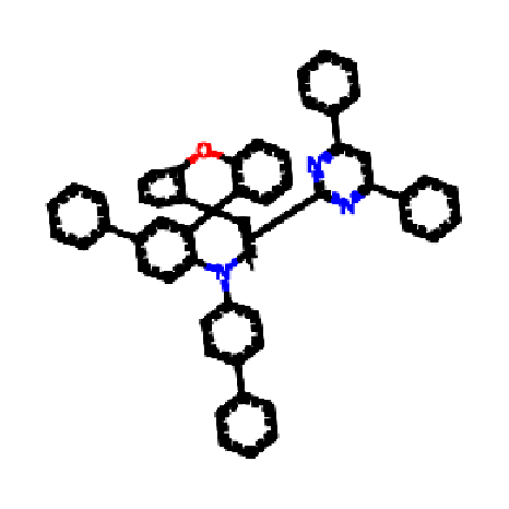 c1ccc(-c2ccc(N3c4ccc(-c5ccccc5)cc4C4(c5ccccc5Oc5ccccc54)c4cc(-c5nc(-c6ccccc6)cc(-c6ccccc6)n5)ccc43)cc2)cc1